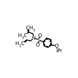 C=CCN(CC(=C)C)S(=O)(=O)c1ccc(OC(C)C)cc1